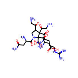 N=C(N)NCCCC(N)C(=O)C1(C(=O)CN)C(C(=O)CN)CN(C(=O)C(N)CC(N)=O)C1(C(=O)O)C(=O)C(N)CC(=O)O